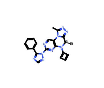 CC[C@@H]1c2nnc(C)n2-c2cnc(-n3ncnc3-c3ccccc3)nc2N1C1=CC=C1